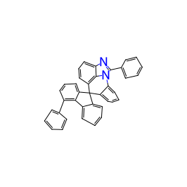 c1ccc(-c2cccc3c2-c2ccccc2C32c3ccccc3-n3c(-c4ccccc4)nc4cccc2c43)cc1